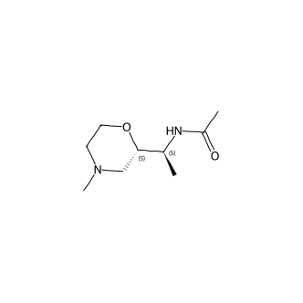 CC(=O)N[C@@H](C)[C@@H]1CN(C)CCO1